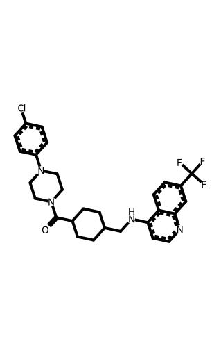 O=C(C1CCC(CNc2ccnc3cc(C(F)(F)F)ccc23)CC1)N1CCN(c2ccc(Cl)cc2)CC1